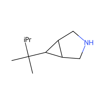 CC(C)C(C)(C)C1C2CNCC21